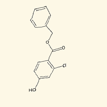 O=C(OCc1ccccc1)c1ccc(O)cc1Cl